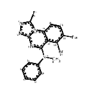 CCc1nnc2nc(N(C)c3ccccc3)c3c(Br)c(F)ccc3n12